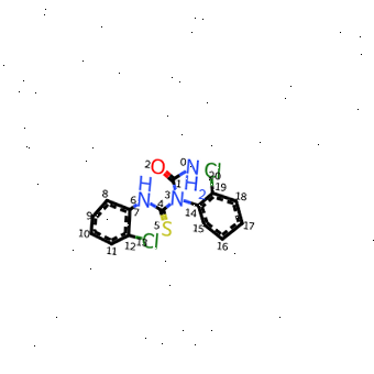 NC(=O)N(C(=S)Nc1ccccc1Cl)c1ccccc1Cl